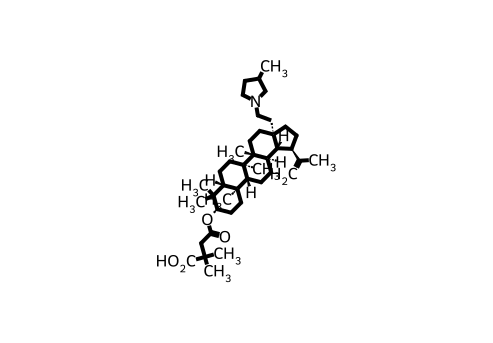 C=C(C)[C@@H]1CC[C@]2(CCN3CCC(C)C3)CC[C@]3(C)[C@H](CC[C@@H]4[C@@]5(C)CC[C@H](OC(=O)CC(C)(C)C(=O)O)C(C)(C)[C@@H]5CC[C@]43C)[C@@H]12